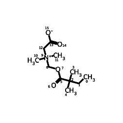 CCC(C)(C)C(=O)OC[N+](C)(C)CC(=O)[O-]